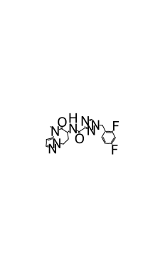 CN1C(=O)[C@@H](NC(=O)c2ncn(Cc3ccc(F)cc3F)n2)CCn2nccc21